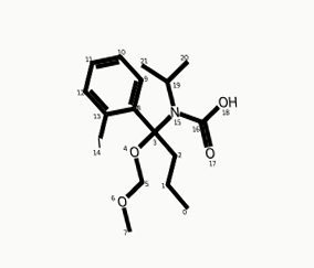 CCCC(OCOC)(c1ccccc1I)N(C(=O)O)C(C)C